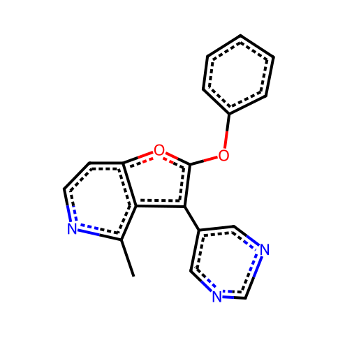 Cc1nccc2oc(Oc3ccccc3)c(-c3cncnc3)c12